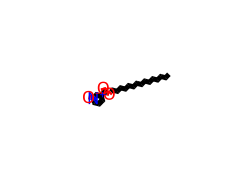 CCCCCCCCCCCCCCCOC(=O)c1ccc[n+]([O-])c1